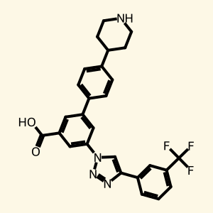 O=C(O)c1cc(-c2ccc(C3CCNCC3)cc2)cc(-n2cc(-c3cccc(C(F)(F)F)c3)nn2)c1